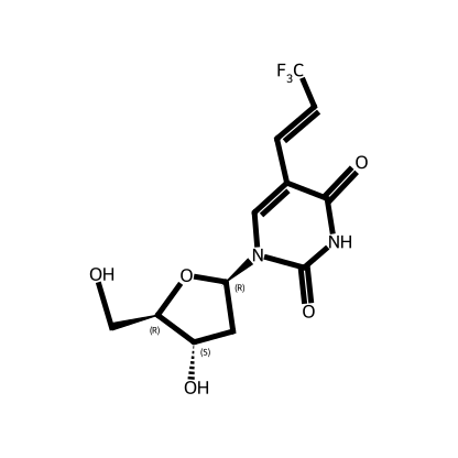 O=c1[nH]c(=O)n([C@H]2C[C@H](O)[C@@H](CO)O2)cc1C=CC(F)(F)F